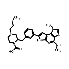 CNc1nc2[nH]c(-c3cccc(CC4CN(CCOC)CCN4C(=O)O)c3)cc2c2c1ncn2C